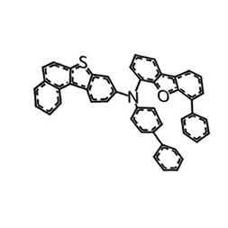 c1ccc(-c2ccc(N(c3ccc4c(c3)sc3ccc5ccccc5c34)c3cccc4c3oc3c(-c5ccccc5)cccc34)cc2)cc1